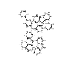 c1ccc(-c2ccc(N(c3cccc(N(c4cccc5ccccc45)c4cccc5sc6ccccc6c45)c3)c3cccc(C4(c5ccccc5)c5ccccc5-c5ccccc54)c3)cc2)cc1